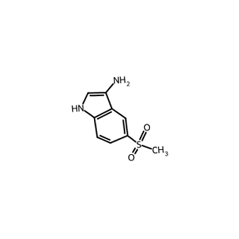 CS(=O)(=O)c1ccc2[nH]cc(N)c2c1